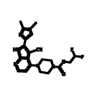 Cc1nc(-c2[nH]c3nccc(N4CCN(C(=O)OCC(F)F)CC4)c3c2C#N)cn1C